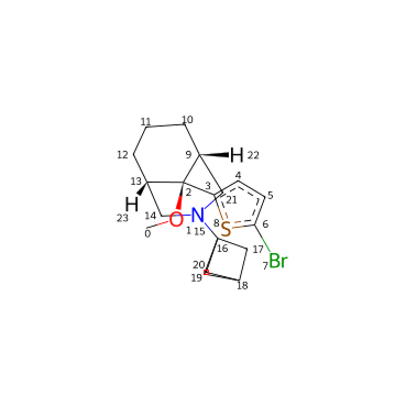 CO[C@]1(c2ccc(Br)s2)[C@@H]2CCC[C@H]1CN(C13CC(C1)C3)C2